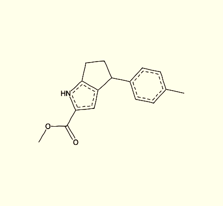 COC(=O)c1cc2c([nH]1)CCC2c1ccc(C)cc1